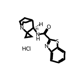 Cl.O=C(N[C@@H]1C2CCN(CC2)C12CC2)c1nc2ccccc2s1